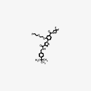 CC(C)(C)c1ccc(CNC(=O)c2cn(-c3ccc(C(=O)NCC(F)(F)F)cc3OCCOCCF)nn2)cc1